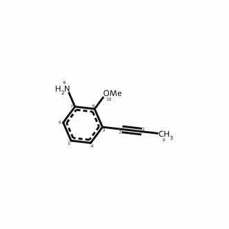 CC#Cc1cccc(N)c1OC